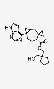 O=C(OCC1(CO)CCCC1)[C@@H]1CCC2(c3ncnc4[nH]ccc34)CC2CC12CC2